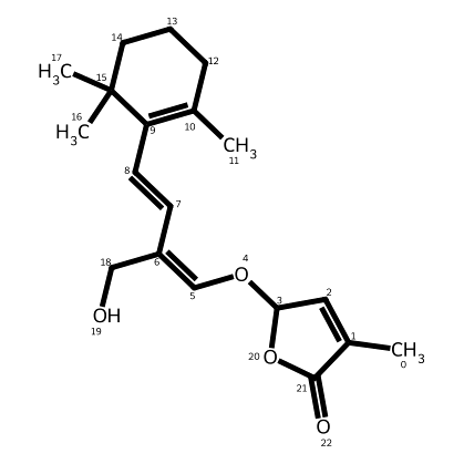 CC1=CC(O/C=C(\C=C\C2=C(C)CCCC2(C)C)CO)OC1=O